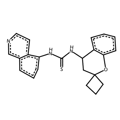 S=C(Nc1cccc2cnccc12)NC1CC2(CCC2)Oc2ccccc21